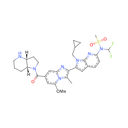 COc1cc(C(=O)N2CC[C@H]3NCCC[C@H]32)cc2nc(-c3cc4ccc(N(C(F)F)S(C)(=O)=O)nc4n3CC3CC3)c(C)n12